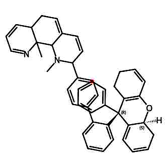 CN1C(c2ccc(-c3ccccc3[C@]3(c4ccccc4)C4=CC=CC[C@@H]4OC4=C3CCC=C4)cc2)C=CC2=CCC3C=CC=NC3(C)C21